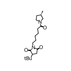 C[C@@H]1CCN(C(=O)CCCCCN2C(=O)CC(C(C)(C)C)C2=O)C1